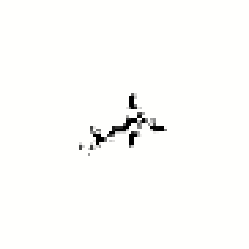 CCO[Si](CCCOC(N)=O)(OCC)OCC